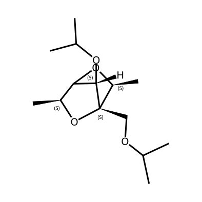 CC(C)OC[C@]12O[C@@H](C)C(O[C@H]1C)[C@@H]2OC(C)C